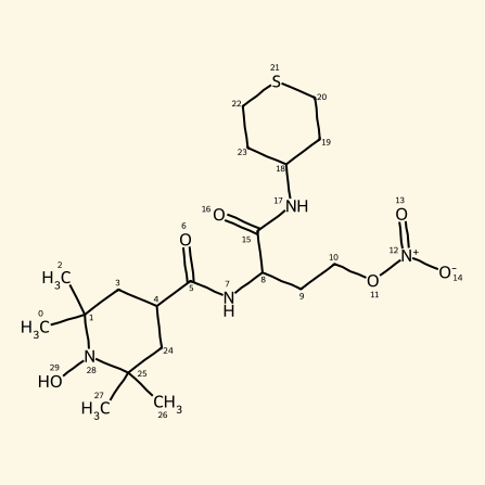 CC1(C)CC(C(=O)NC(CCO[N+](=O)[O-])C(=O)NC2CCSCC2)CC(C)(C)N1O